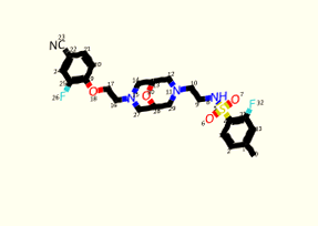 Cc1ccc(S(=O)(=O)NCCN2CC3CN(CCOc4ccc(C#N)cc4F)CC(C2)O3)c(F)c1